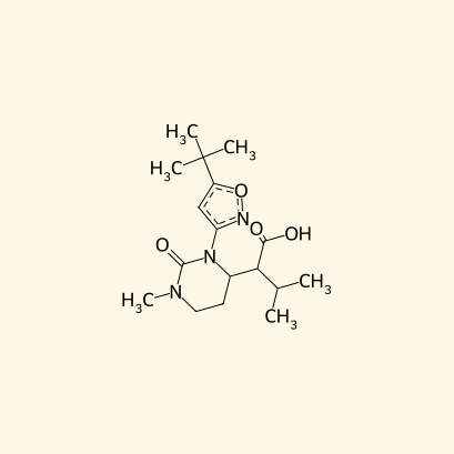 CC(C)C(C(=O)O)C1CCN(C)C(=O)N1c1cc(C(C)(C)C)on1